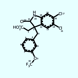 O=C(O)CC1(Cc2cccc(OC(F)(F)F)c2)c2cc(Cl)c(Cl)cc2NC1Cl